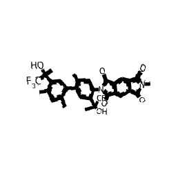 Cc1cc(C)c(C(C)(O)C(F)(F)F)cc1-c1cc(C(C)(O)C(F)(F)F)c(-n2c(=O)c3cc4c(=O)n(C)c(=O)c4cc3c2=O)cc1C